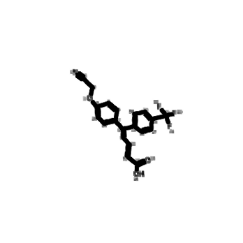 N#CCOc1ccc(C(=CC=CC(=O)O)c2ccc(C(F)(F)F)cc2)cc1